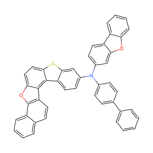 c1ccc(-c2ccc(N(c3ccc4c(c3)oc3ccccc34)c3ccc4c(c3)sc3ccc5oc6c7ccccc7ccc6c5c34)cc2)cc1